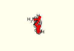 CC[C@@]1(O)C(=O)OCc2c1cc1n(c2=O)Cc2c-1nc1cc(F)c(C)cc1c2CNC(=O)[C@H](OCNC(=O)CNC(=O)[C@H](Cc1ccccc1)NC(=O)CNC(=O)CN)C1CC1